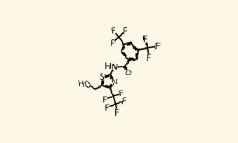 O=C(Nc1nc(C(F)(F)C(F)(F)F)c(CO)s1)c1cc(C(F)(F)F)cc(C(F)(F)F)c1